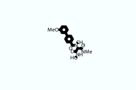 CNC(=O)C(C(=O)NO)N(C)C(=O)c1ccc(-c2cccc(OC)c2)cc1